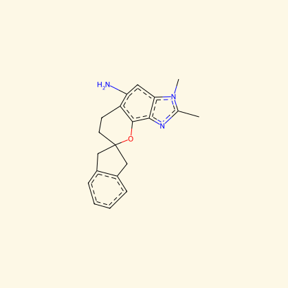 Cc1nc2c3c(c(N)cc2n1C)CCC1(Cc2ccccc2C1)O3